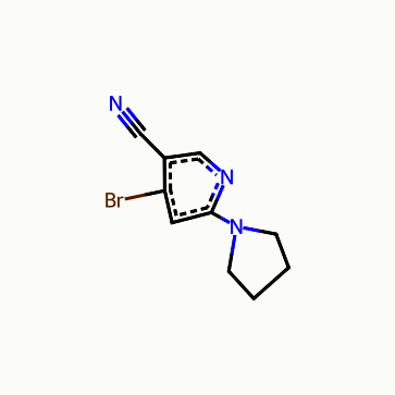 N#Cc1cnc(N2CCCC2)cc1Br